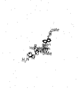 COOOSc1cccc2c(NP(=O)(OC)OP(=O)(OC)OP(=O)(OC)OC[C@H]3O[C@@H](n4cnc5c(N)ncnc54)C[C@@H]3O[PH](=O)O)cccc12